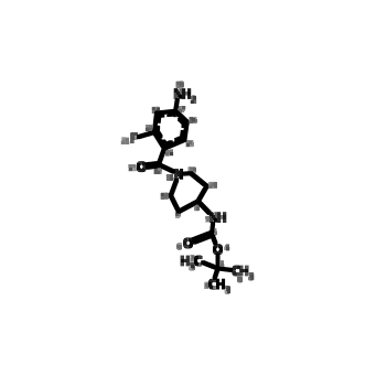 CC(C)(C)OC(=O)NC1CCN(C(=O)c2ccc(N)cc2F)CC1